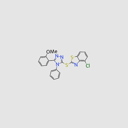 COc1ccccc1-c1nnc(Sc2nc3c(Cl)cccc3s2)n1-c1ccccc1